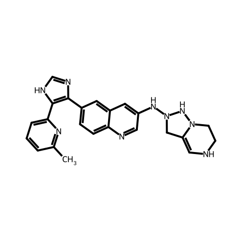 Cc1cccc(-c2[nH]cnc2-c2ccc3ncc(NN4CC5=CNCCN5N4)cc3c2)n1